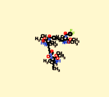 CCCCc1n[nH]c2c1C(C)(C)CN(C(=O)N1CCOC(CCCCc3n[nH]c4c3C(C)(C)CN(C(=O)C3CCC(CCCCc5n[nH]c6c5C(C)(C)CN(C(=O)c5ccc(F)c(F)c5)C=C6C(=O)OC(C)C)CC3)C=C4C(=O)OC(C)C)C1)C=C2C(=O)OC(C)C